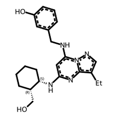 CCc1cnn2c(NCc3cccc(O)c3)cc(N[C@H]3CCCC[C@H]3CO)nc12